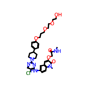 CNC(=O)COc1cc2cc(Nc3nc(N4CCC(c5ccc(OCCCOCCOCCO)cc5)CC4)ncc3Cl)ccc2n(C)c1=O